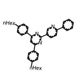 CCCCCCc1ccc(-c2cc(-c3ccc(CCCCCC)cc3)nc(-c3ccc(-c4ccccc4)nc3)n2)cc1